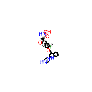 COC(=O)[C@@]1(Cc2ccc(OCc3cc(N4CCNCC4)nc4ccccc34)c(F)c2)C[C@@H]1C(=O)NO